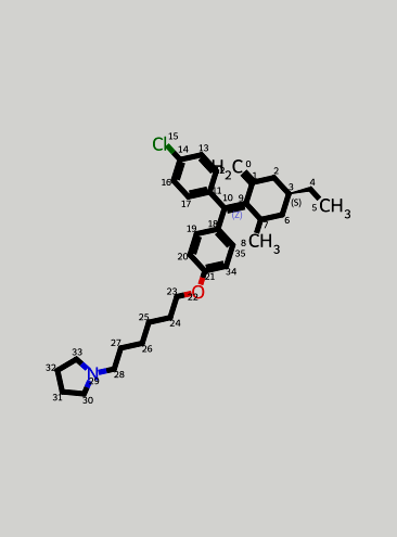 C=C1C[C@@H](CC)CC(C)/C1=C(/c1ccc(Cl)cc1)c1ccc(OCCCCCCN2CCCC2)cc1